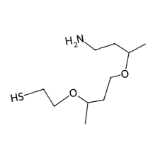 CC(CCN)OCCC(C)OCCS